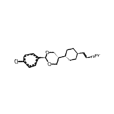 CCCC=C[C@H]1CC[C@H]([C@H]2CO[C@H](c3ccc(Cl)cc3)OC2)CC1